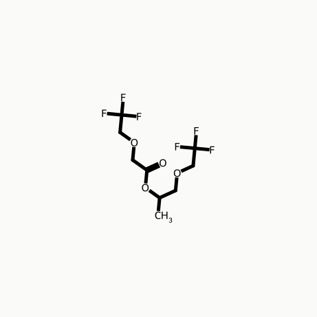 CC(COCC(F)(F)F)OC(=O)COCC(F)(F)F